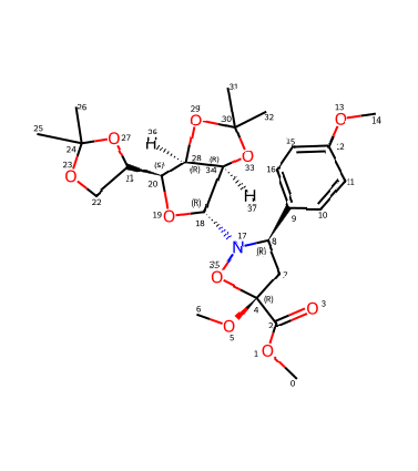 COC(=O)[C@@]1(OC)C[C@H](c2ccc(OC)cc2)N([C@@H]2O[C@@H](C3COC(C)(C)O3)[C@H]3OC(C)(C)O[C@H]32)O1